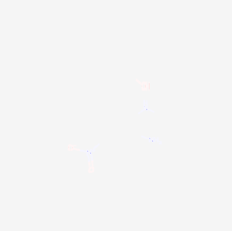 CNc1c(N)cc([N+](=O)[O-])cc1CC(C)O